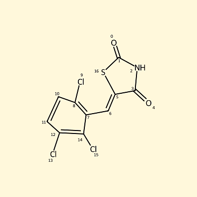 O=C1NC(=O)/C(=C/c2c(Cl)ccc(Cl)c2Cl)S1